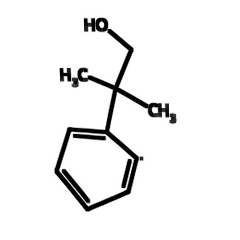 CC(C)(CO)c1[c]cccc1